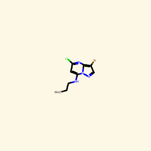 COCCNc1cc(Cl)nc2c(Br)cnn12